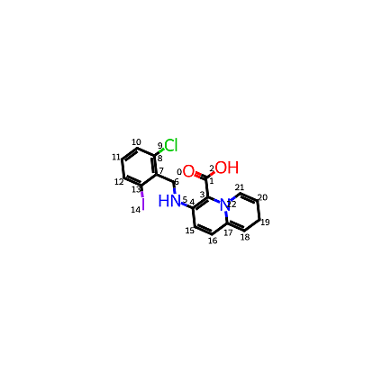 O=C(O)C1=C(NCc2c(Cl)cccc2I)C=CC2=CCC=CN21